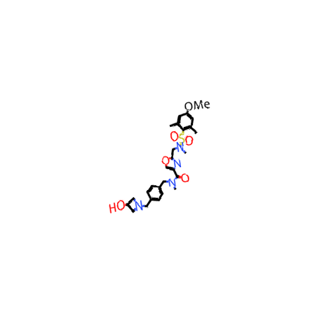 COc1cc(C)c(S(=O)(=O)N(C)Cc2nc(C(=O)N(C)Cc3ccc(CN4CC(O)C4)cc3)co2)c(C)c1